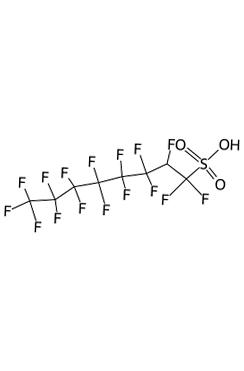 O=S(=O)(O)C(F)(F)C(F)C(F)(F)C(F)(F)C(F)(F)C(F)(F)C(F)(F)C(F)(F)F